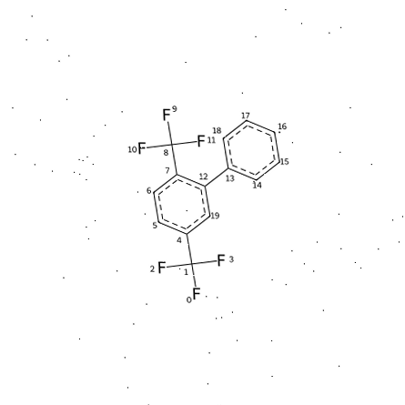 FC(F)(F)c1ccc(C(F)(F)F)c(-c2cc[c]cc2)c1